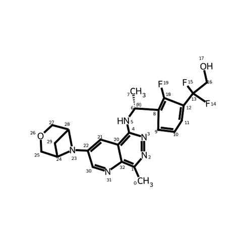 Cc1nnc(N[C@H](C)c2cccc(C(F)(F)CO)c2F)c2cc(N3C4COCC3C4)cnc12